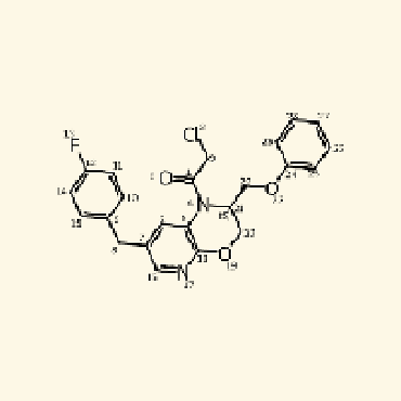 O=C(CCl)N1c2cc(Cc3ccc(F)cc3)cnc2OC[C@@H]1COc1ccccc1